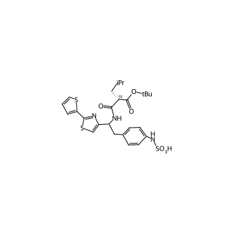 CC(C)C[C@@H](C(=O)NC(Cc1ccc(NS(=O)(=O)O)cc1)c1csc(-c2cccs2)n1)C(=O)OC(C)(C)C